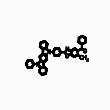 Cc1cc2oc(-c3ccc(-n4c5ccccc5c5cc6c(cc54)c4ccccc4n6-c4ccccc4)cc3)nc2cc1C(=O)c1ccccc1